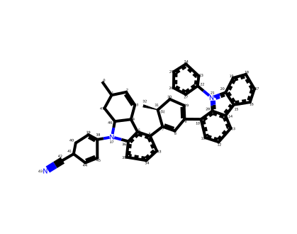 CC1C=CC2c3c(C4=CC(c5cccc6c7ccccc7n(-c7ccccc7)c56)=CC[C@@H]4C)cccc3N(C3=CCC(C#N)C=C3)C2C1